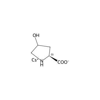 O=C([O-])[C@@H]1CC(O)CN1.[Cs+]